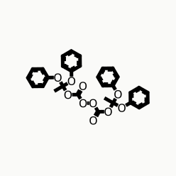 CC(OC(=O)OOC(=O)OC(C)(Oc1ccccc1)Oc1ccccc1)(Oc1ccccc1)Oc1ccccc1